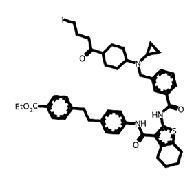 CCOC(=O)c1ccc(CCc2ccc(NC(=O)c3c(NC(=O)c4cccc(CN(C5CCC(C(=O)CCCI)CC5)C5CC5)c4)sc4c3CCCC4)cc2)cc1